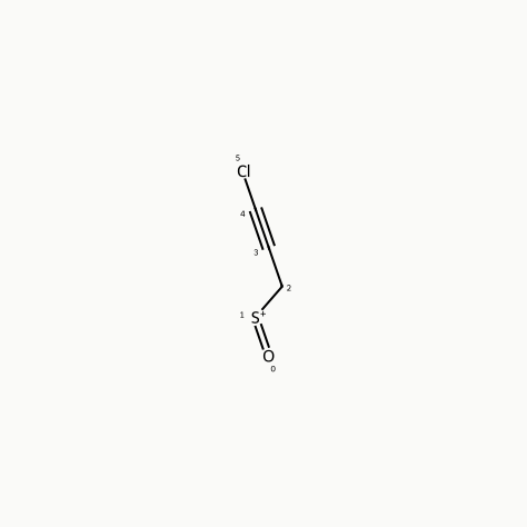 O=[S+]CC#CCl